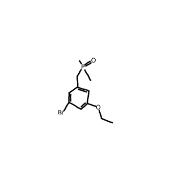 CCOc1cc(Br)cc(CP(C)(C)=O)c1